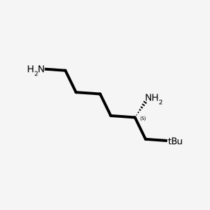 CC(C)(C)C[C@@H](N)CCCCN